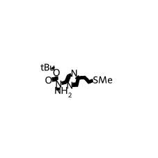 CSCCc1cnc(N(N)C(=O)OC(C)(C)C)cn1